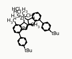 CC1=Cc2c(-c3ccc(C(C)(C)C)cc3)ccc(C)c2[CH]1[Zr]([CH3])([CH3])(=[SiH2])[CH]1C(C(C)C)=Cc2c(-c3ccc(C(C)(C)C)cc3)cccc21.Cl.Cl